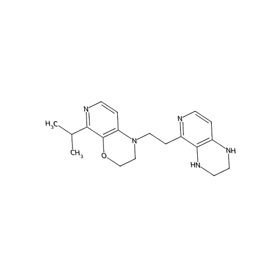 CC(C)c1nccc2c1OCCN2CCc1nccc2c1NCCN2